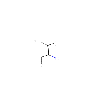 CC(C)CC(N)C(C)C(=O)O